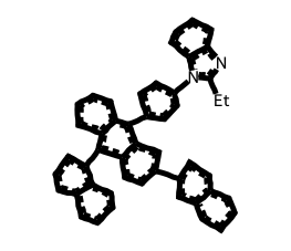 CCc1nc2ccccc2n1-c1ccc(-c2c3ccccc3c(-c3cccc4ccccc34)c3ccc(-c4ccc5ccccc5c4)cc23)cc1